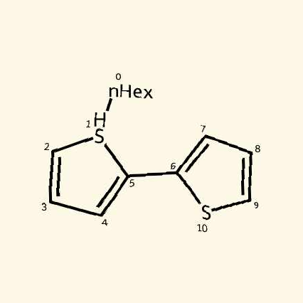 CCCCCC[SH]1C=CC=C1c1cccs1